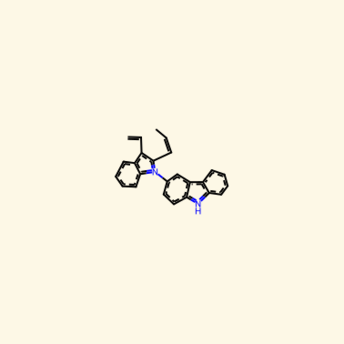 C=Cc1c(/C=C\C)n(-c2ccc3[nH]c4ccccc4c3c2)c2ccccc12